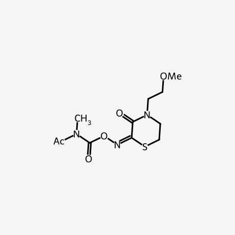 COCCN1CCSC(=NOC(=O)N(C)C(C)=O)C1=O